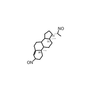 CC(N=O)[C@H]1CCC2C3CCC4=CC(N=O)CC[C@]4(C)C3CC[C@@]21C